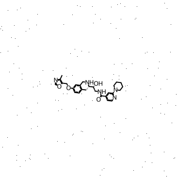 Cc1ncoc1COc1ccc2c(c1)CN[C@H]([C@H](O)CNC(=O)c1ccnc(N3CCCCC3)c1)C2